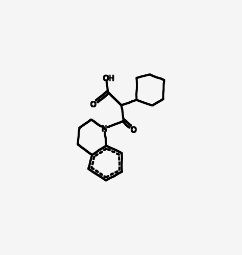 O=C(O)C(C(=O)N1CCCc2ccccc21)C1CCCCC1